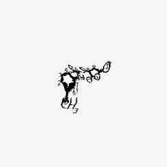 Cc1ccc2sc(SC3CC(=O)OC3=O)nc2c1